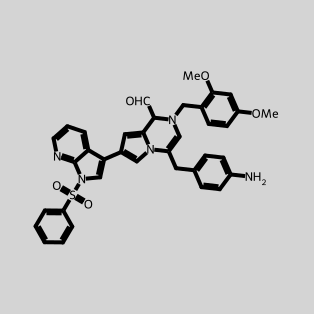 COc1ccc(CN2C=C(Cc3ccc(N)cc3)n3cc(-c4cn(S(=O)(=O)c5ccccc5)c5ncccc45)cc3C2C=O)c(OC)c1